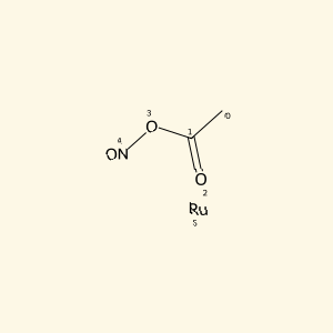 CC(=O)ON=O.[Ru]